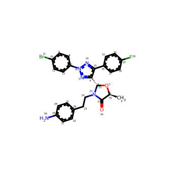 C[C@@H]1O[C@@H](c2nn(-c3ccc(Br)cc3)nc2-c2ccc(F)cc2)N(CCc2ccc(N)cc2)C1=O